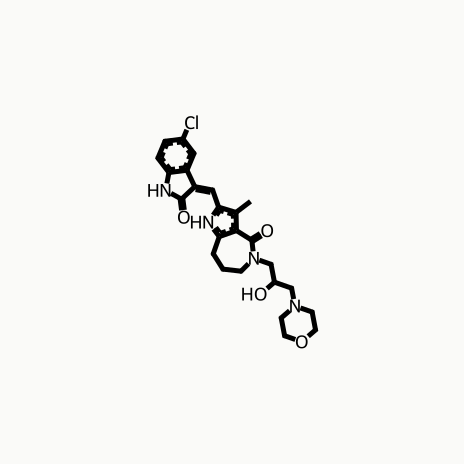 Cc1c(/C=C2\C(=O)Nc3ccc(Cl)cc32)[nH]c2c1C(=O)N(CC(O)CN1CCOCC1)CCC2